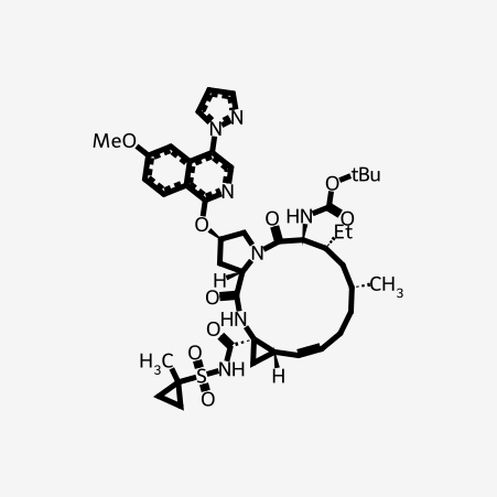 CC[C@@H]1C[C@H](C)CC/C=C\[C@@H]2C[C@@]2(C(=O)NS(=O)(=O)C2(C)CC2)NC(=O)[C@@H]2C[C@@H](Oc3ncc(-n4cccn4)c4cc(OC)ccc34)CN2C(=O)[C@H]1NC(=O)OC(C)(C)C